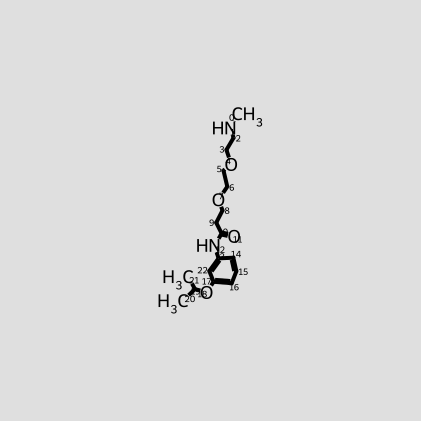 CNCCOCCOCCC(=O)Nc1cccc(OC(C)C)c1